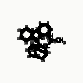 C[SiH](C)c1cccc2c3ccccc3n(C34CC5CC(CC(C5)C3)C4)c12